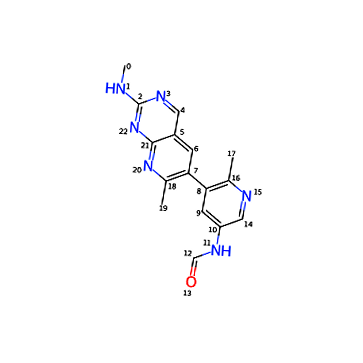 CNc1ncc2cc(-c3cc(NC=O)cnc3C)c(C)nc2n1